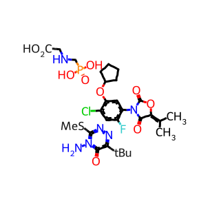 CC(C)=C1OC(=O)N(c2cc(OC3CCCC3)c(Cl)cc2F)C1=O.CSc1nnc(C(C)(C)C)c(=O)n1N.O=C(O)CNCP(=O)(O)O